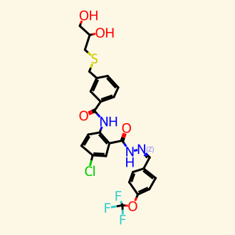 O=C(Nc1ccc(Cl)cc1C(=O)N/N=C\c1ccc(OC(F)(F)F)cc1)c1cccc(CSCC(O)CO)c1